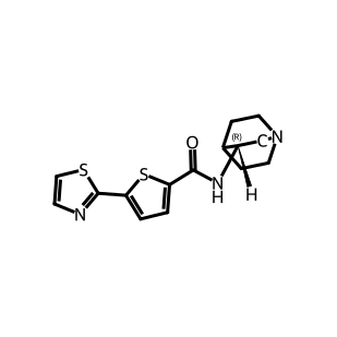 O=C(N[C@H]1CN2CCC1CC2)c1ccc(-c2nccs2)s1